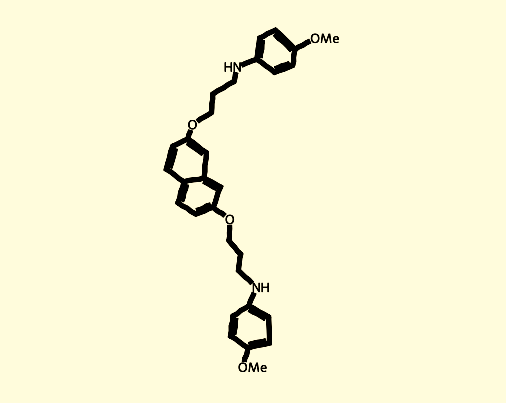 COc1ccc(NCCCOc2ccc3ccc(OCCCNc4ccc(OC)cc4)cc3c2)cc1